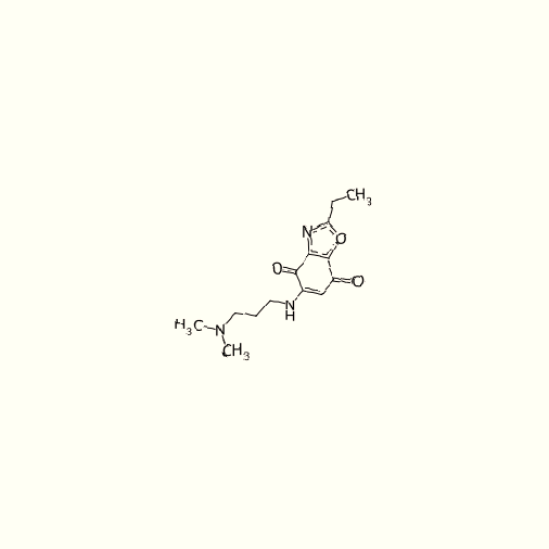 CCc1nc2c(o1)C(=O)C=C(NCCCN(C)C)C2=O